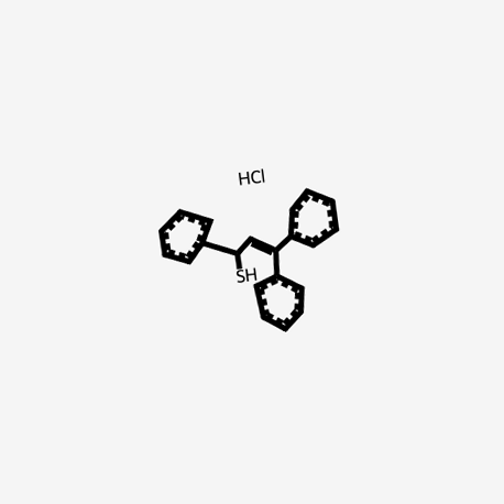 Cl.SC(C=C(c1ccccc1)c1ccccc1)c1ccccc1